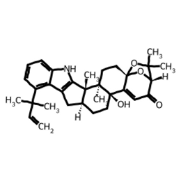 C=CC(C)(C)c1cccc2[nH]c3c(c12)C[C@@H]1CC[C@@]2(O)C4=CC(=O)[C@@H]5O[C@@]4(CC[C@]2(C)[C@@]31C)OC5(C)C